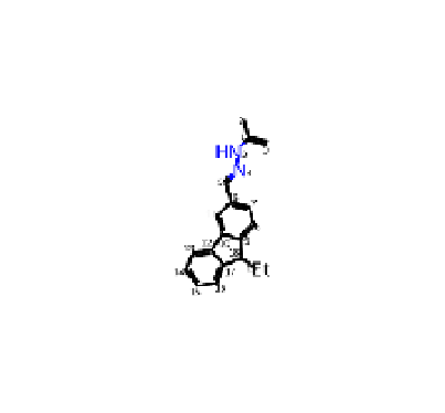 C=C(C)N/N=C/c1ccc2c(c1)-c1ccccc1C2CC